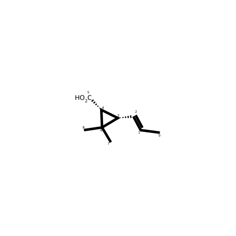 CC=C[C@H]1[C@@H](C(=O)O)C1(C)C